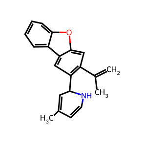 C=C(C)c1cc2oc3ccccc3c2cc1C1C=C(C)C=CN1